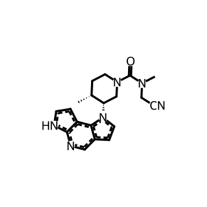 C[C@@H]1CCN(C(=O)N(C)CC#N)C[C@@H]1n1ccc2cnc3[nH]ccc3c21